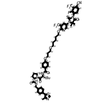 Cc1ncsc1-c1ccc(CNC(=O)[C@@H]2CCCN2C(=O)[C@@H](NC(=O)c2ccc(OCCCOCCCCCOc3ncc(N4C(=S)N(c5ccc(C#N)c(C(F)(F)F)c5F)C(=O)C4(C)C)cc3C(F)(F)F)cc2)C(C)(C)C)cc1